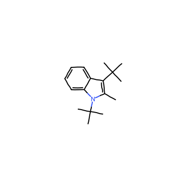 Cc1c(C(C)(C)C)c2ccccc2n1C(C)(C)C